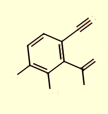 Cc1ccc(C#N)c(C(=O)O)c1O